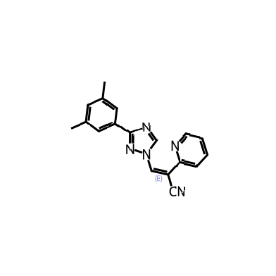 Cc1cc(C)cc(-c2ncn(/C=C(/C#N)c3ccccn3)n2)c1